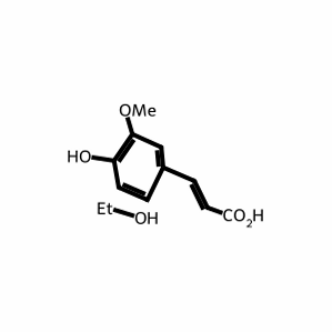 CCO.COc1cc(C=CC(=O)O)ccc1O